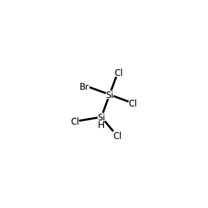 Cl[SiH](Cl)[Si](Cl)(Cl)Br